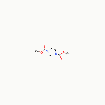 CC(C)OC(=O)N1CCN(C(=O)OC(C)C)CC1